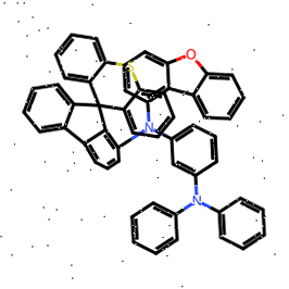 c1ccc(N(c2ccccc2)c2cccc(N(c3cccc4c3C3(c5ccccc5Sc5ccccc53)c3ccccc3-4)c3cccc4oc5ccccc5c34)c2)cc1